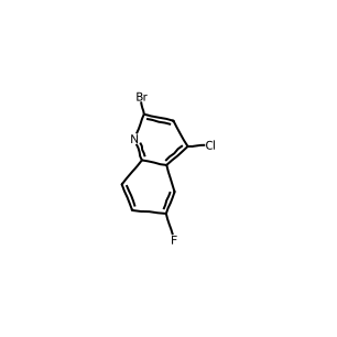 Fc1ccc2nc(Br)cc(Cl)c2c1